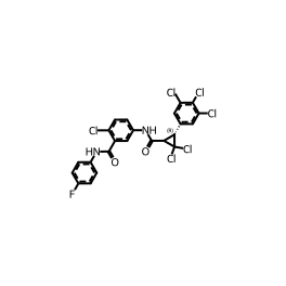 O=C(Nc1ccc(F)cc1)c1cc(NC(=O)C2[C@H](c3cc(Cl)c(Cl)c(Cl)c3)C2(Cl)Cl)ccc1Cl